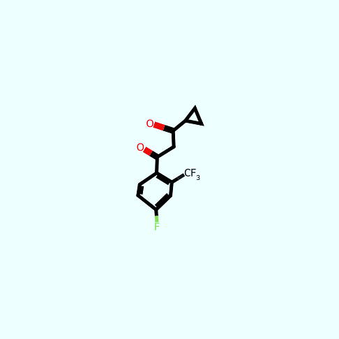 O=C(CC(=O)C1CC1)c1ccc(F)cc1C(F)(F)F